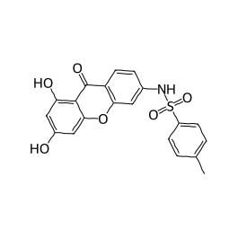 Cc1ccc(S(=O)(=O)Nc2ccc3c(=O)c4c(O)cc(O)cc4oc3c2)cc1